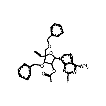 C=CC1(COCc2ccccc2)OC(n2cnc3c(N)nc(F)nc32)C(OC(C)=O)C1OCc1ccccc1